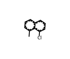 Cc1cccc2cccc(Cl)c12